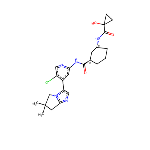 CC1(C)Cc2ncc(-c3cc(NC(=O)[C@@H]4CCC[C@@H](NC(=O)C5(O)CC5)C4)ncc3Cl)n2C1